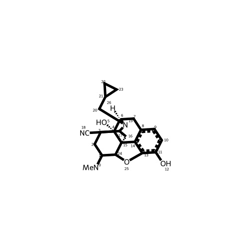 CNC1CC[C@@]2(O)[C@H]3Cc4ccc(O)c5c4[C@@]2(CC(C#N)N3CC2CC2)C1O5